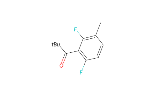 Cc1ccc(F)c(C(=O)C(C)(C)C)c1F